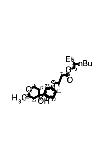 CCCCC(CC)COC(=O)CCSc1cccc([C@]2(O)CCO[C@@H](C)C2)c1